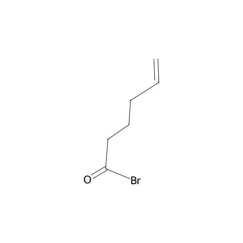 C=CCCCC(=O)Br